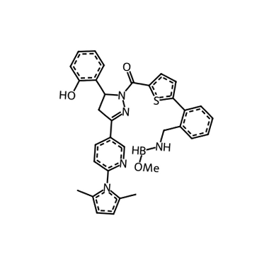 COBNCc1ccccc1-c1ccc(C(=O)N2N=C(c3ccc(-n4c(C)ccc4C)nc3)CC2c2ccccc2O)s1